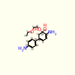 CCOCC.NC1=CC=C(c2ccc(N)cc2)CC1(O)O